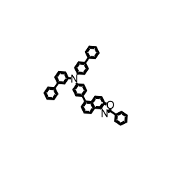 c1ccc(-c2ccc(N(c3ccc(-c4cccc5c4ccc4oc(-c6ccccc6)nc45)cc3)c3cccc(-c4ccccc4)c3)cc2)cc1